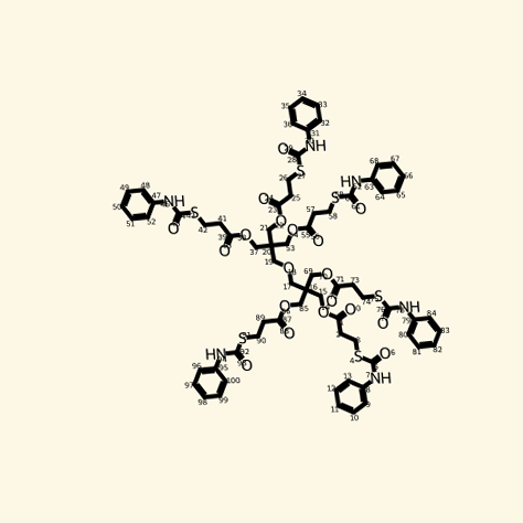 O=C(CCSC(=O)Nc1ccccc1)OCC(COCC(COC(=O)CCSC(=O)Nc1ccccc1)(COC(=O)CCSC(=O)Nc1ccccc1)COC(=O)CCSC(=O)Nc1ccccc1)(COC(=O)CCSC(=O)Nc1ccccc1)COC(=O)CCSC(=O)Nc1ccccc1